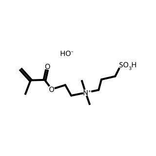 C=C(C)C(=O)OCC[N+](C)(C)CCCS(=O)(=O)O.[OH-]